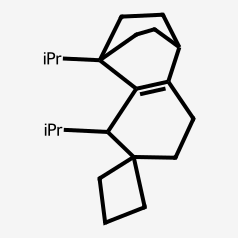 CC(C)C1C2=C(CCC13CCC3)C1CCC2(C(C)C)CC1